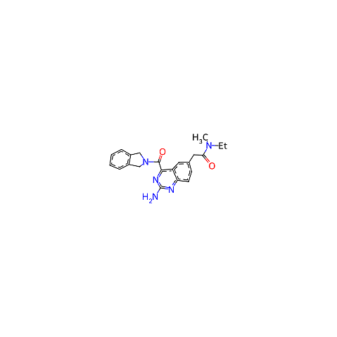 CCN(C)C(=O)Cc1ccc2nc(N)nc(C(=O)N3Cc4ccccc4C3)c2c1